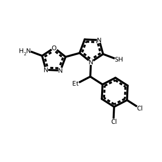 CCC(c1ccc(Cl)c(Cl)c1)n1c(-c2nnc(N)o2)cnc1S